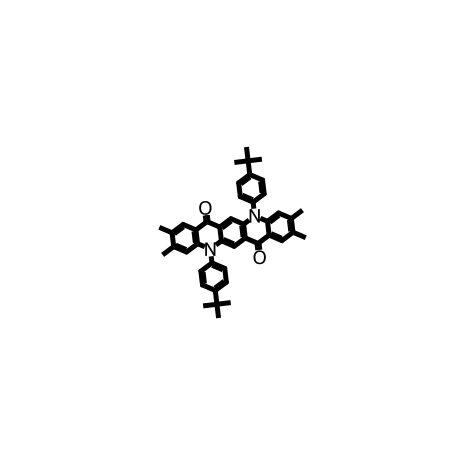 Cc1cc2c(=O)c3cc4c(cc3n(-c3ccc(C(C)(C)C)cc3)c2cc1C)c(=O)c1cc(C)c(C)cc1n4-c1ccc(C(C)(C)C)cc1